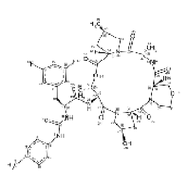 Cc1ccc(NC(=O)N[C@@H](Cc2cc(F)cc(F)c2)C(=O)N[C@@H]2C(=O)N3C[C@H](O)C[C@H]3C(=O)N3CCOC[C@H]3C(=O)N[C@@H](C)C(=O)N3C[C@H](C)C[C@H]3C(=O)O[C@H]2C)cc1